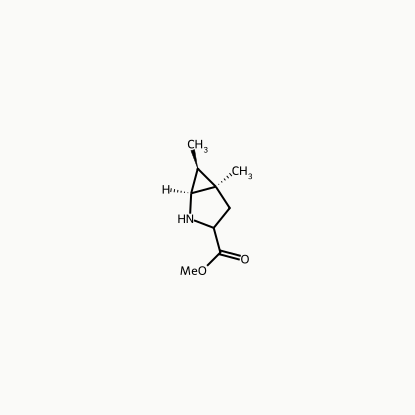 COC(=O)C1C[C@]2(C)[C@H](C)[C@@H]2N1